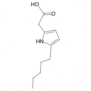 CCCCCc1ccc(CC(=O)O)[nH]1